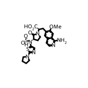 COc1cc2c(N)nccc2cc1C[C@H](C(=O)O)N1CC[C@H](N(c2cnc(N3CCCC3)s2)[SH](=O)=O)C1=O